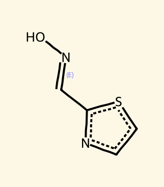 O/N=C/c1nccs1